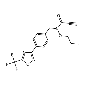 C#CC(=O)N(Cc1ccc(-c2noc(C(F)(F)F)n2)cc1)OCCC